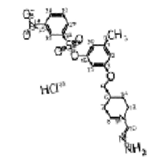 Cc1cc(OCC2CCN(C=NN)CC2)cc(OS(=O)(=O)c2cccc([N+](=O)[O-])c2)c1.Cl